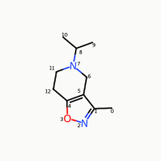 Cc1noc2c1CN(C(C)C)CC2